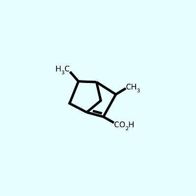 CC1CC2=C(C(=O)O)C(C)C1C2